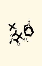 COC(=O)C(C)(N)C(=O)OC(C)(C)C.c1cc2cc(c1)NC2